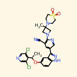 C[C@@H](Oc1ccc2[nH]nc(-c3cnc(N4CC(C)(N5CCS(=O)(=O)CC5)C4)c(C#N)c3)c2c1)c1c(Cl)cncc1Cl